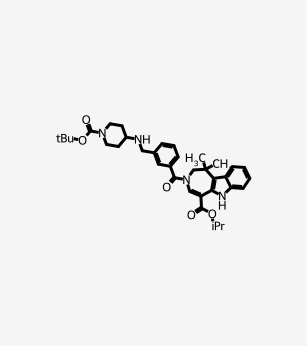 CC(C)OC(=O)C1=CN(C(=O)c2cccc(CNC3CCN(C(=O)OC(C)(C)C)CC3)c2)CC(C)(C)c2c1[nH]c1ccccc21